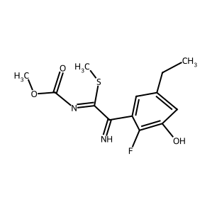 CCc1cc(O)c(F)c(C(=N)C(=NC(=O)OC)SC)c1